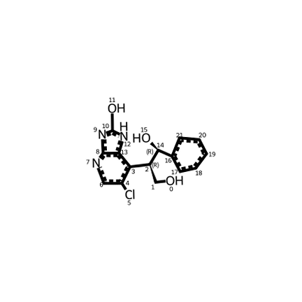 OC[C@@H](c1c(Cl)cnc2nc(O)[nH]c12)[C@@H](O)c1ccccc1